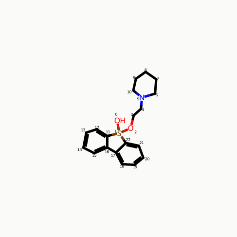 OS1(OCCN2CCCCC2)c2ccccc2-c2ccccc21